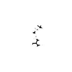 CCC(C(=O)O)C(C)=NOC(=O)N(C)SC(F)(Cl)Cl